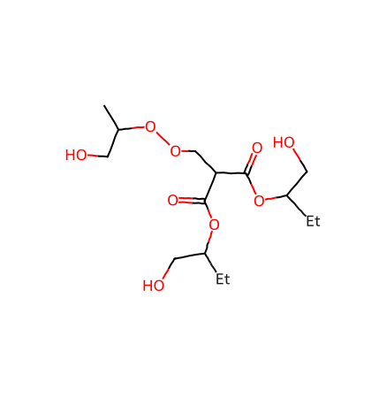 CCC(CO)OC(=O)C(COOC(C)CO)C(=O)OC(CC)CO